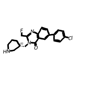 O=c1c2cc(-c3ccc(Cl)cc3)ccc2nc(CF)n1C[C@H]1CCCNC1